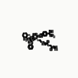 CCNC(=O)CCC(=O)NCCCC[C@H](NC(=O)[C@@H](CC1CCCCC1)N(C)S(=O)(=O)Cc1ccccc1)C(=O)NCc1ccc(C(=N)N)cc1